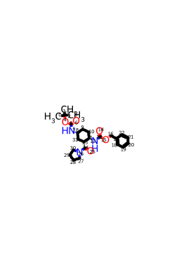 CC(C)(C)OC(=O)N[C@@H]1CC[C@H](NC(=O)OCc2ccccc2)[C@H](C(=O)N2CCCC2)C1